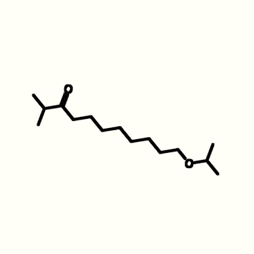 CC(C)OCCCCCCCCC(=O)C(C)C